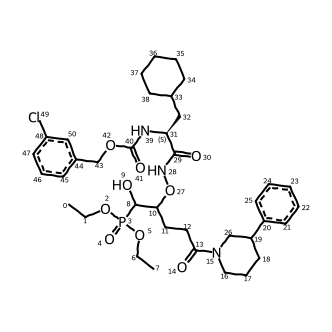 CCOP(=O)(OCC)C(O)C(CCC(=O)N1CCCC(c2ccccc2)C1)ONC(=O)[C@H](CC1CCCCC1)NC(=O)OCc1cccc(Cl)c1